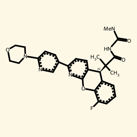 CNC(=O)NC(=O)C(C)(C)[C@@H]1c2ccc(-c3ccc(N4CCOCC4)nc3)nc2Oc2c(F)cccc21